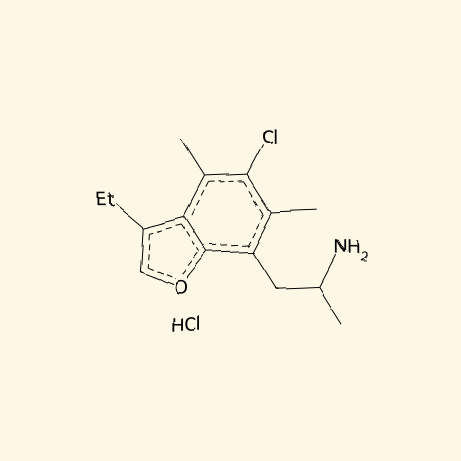 CCc1coc2c(CC(C)N)c(C)c(Cl)c(C)c12.Cl